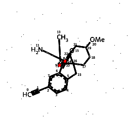 C#Cc1ccc2c(c1)C1(N=C(N)N(C)C1=O)C1(CCC(OC)CC1)C2